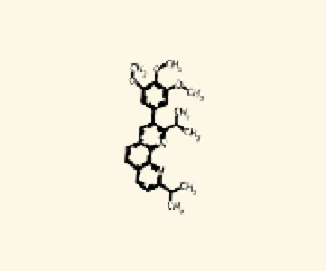 COc1cc(-c2cc3ccc4ccc(C(C)C)nc4c3nc2C(C)C)cc(OC)c1OC